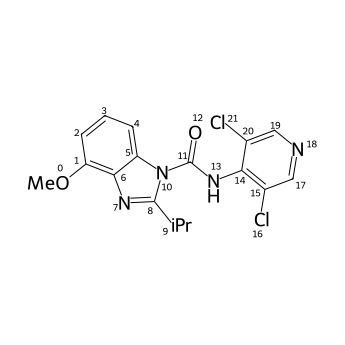 COc1cccc2c1nc(C(C)C)n2C(=O)Nc1c(Cl)cncc1Cl